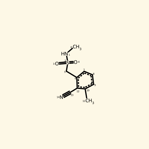 CNS(=O)(=O)Cc1cccc(C)c1C#N